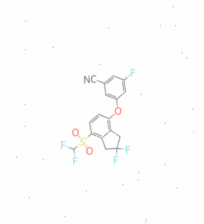 N#Cc1cc(F)cc(Oc2ccc(S(=O)(=O)C(F)F)c3c2CC(F)(F)C3)c1